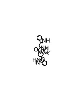 CN(C)NC(=O)C1(Cc2ccccc2)CCN(C(=O)C(Cc2c[nH]c3ccccc23)NC(=O)OC(C)(C)C)CC1